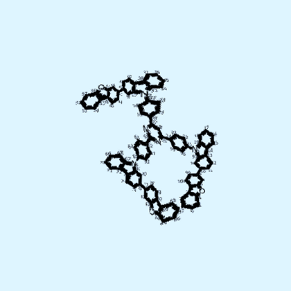 c1ccc2c(c1)oc1cc(-c3ccc4c5ccccc5n(-c5ccc(-c6cc(-c7ccc(-n8c9ccccc9c9ccc(-c%10ccc%11c(c%10)oc%10ccccc%10%11)cc98)cc7)nc(-c7ccc(-n8c9ccccc9c9ccc(-c%10ccc%11c(c%10)oc%10ccccc%10%11)cc98)cc7)n6)cc5)c4c3)ccc12